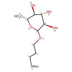 CCCCCCCCCCCCOC1O[C@H](C(=O)O)[C@@H](O)[C@H](O)[C@H]1O